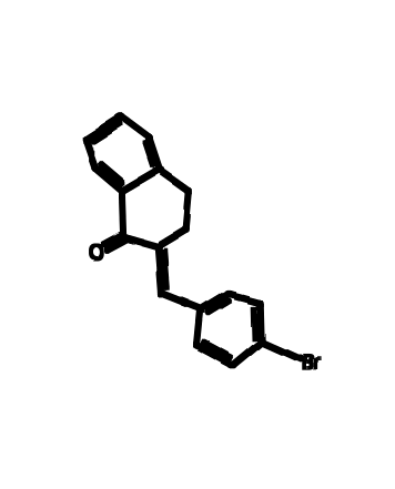 O=C1/C(=C/c2ccc(Br)cc2)CCc2ccccc21